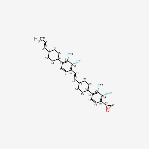 C/C=C/C1CCC(c2ccc(/C=C/C3CCC(c4ccc(C5CO5)c(F)c4F)CC3)c(F)c2F)CC1